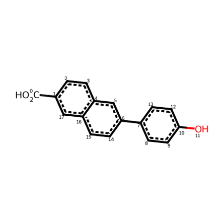 O=C(O)c1ccc2cc(-c3ccc(O)cc3)ccc2c1